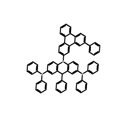 c1ccc(-c2ccc3c4ccccc4c4ccc(N5c6ccc(N(c7ccccc7)c7ccccc7)cc6C(c6ccccc6)c6cc(N(c7ccccc7)c7ccccc7)ccc65)cc4c3c2)cc1